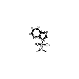 CN(C)S(=O)(=O)n1cnc2cccnc21